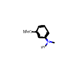 COc1cccc(N(C)C(C)C)c1